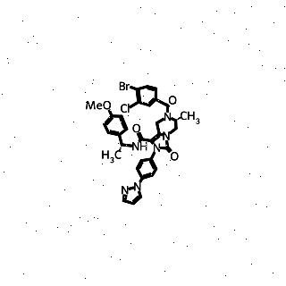 COc1ccc([C@@H](C)NC(=O)c2c3n(c(=O)n2-c2ccc(-n4cccn4)cc2)C[C@@H](C)N(C(=O)c2ccc(Br)c(Cl)c2)C3)cc1